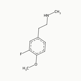 CNCCc1ccc(OC)c(F)c1